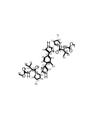 COC(=O)N[C@H](C(=O)N1C[C@@H](C)C[C@H]1c1nc(-c2ccc(-c3c[nH]c([C@@H]4C[C@H](C)CN4C(=O)[C@@H](NC(=O)OC)C(C)C)n3)c(C)c2)c[nH]1)C(C)C